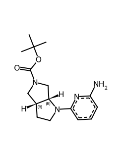 CC(C)(C)OC(=O)N1C[C@H]2CCN(c3cccc(N)n3)[C@H]2C1